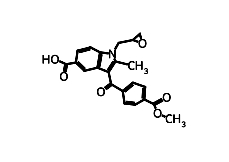 COC(=O)c1ccc(C(=O)c2c(C)n(CC3CO3)c3ccc(C(=O)O)cc23)cc1